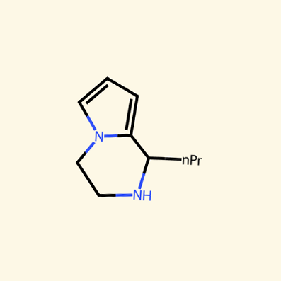 CCCC1NCCn2cccc21